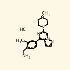 Cc1cc(-c2nc(N3CCN(C)CC3)cn3nccc23)ccc1CN.Cl